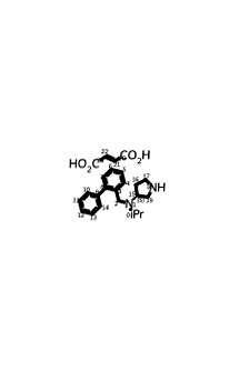 CC(C)N(Cc1ccccc1-c1ccccc1)[C@H]1CCNC1.O=C(O)C=CC(=O)O